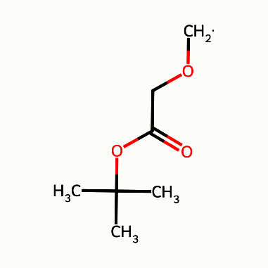 [CH2]OCC(=O)OC(C)(C)C